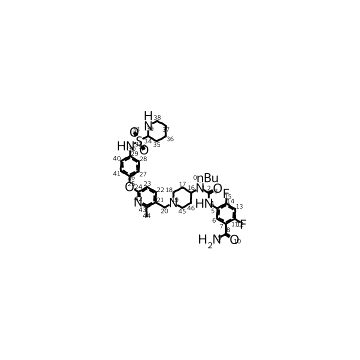 CCCCN(C(=O)Nc1cc(C(N)=O)c(F)cc1F)C1CCN(Cc2ccc(Oc3ccc(NS(=O)(=O)C4CCCCN4)cc3)nc2C)CC1